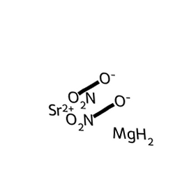 O=[N+]([O-])[O-].O=[N+]([O-])[O-].[MgH2].[Sr+2]